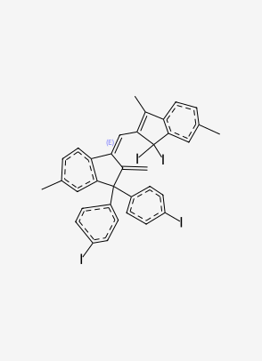 C=C1/C(=C\C2=C(C)c3ccc(C)cc3C2(I)I)c2ccc(C)cc2C1(c1ccc(I)cc1)c1ccc(I)cc1